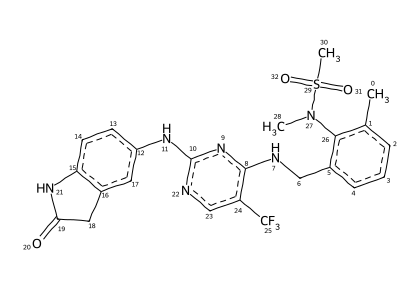 Cc1cccc(CNc2nc(Nc3ccc4c(c3)CC(=O)N4)ncc2C(F)(F)F)c1N(C)S(C)(=O)=O